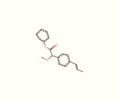 CC=Cc1ccc(C(OC)C(=O)Oc2ccccc2)cc1